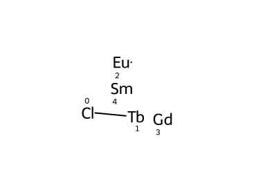 [Cl][Tb].[Eu].[Gd].[Sm]